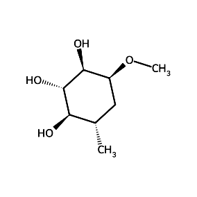 CO[C@H]1C[C@H](C)[C@@H](O)[C@H](O)[C@H]1O